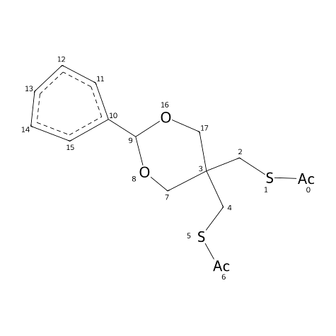 CC(=O)SCC1(CSC(C)=O)COC(c2ccccc2)OC1